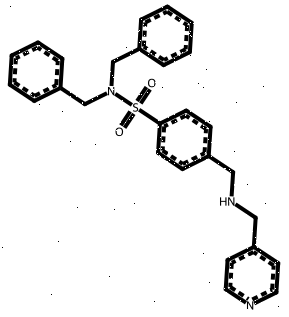 O=S(=O)(c1ccc(CNCc2ccncc2)cc1)N(Cc1ccccc1)Cc1ccccc1